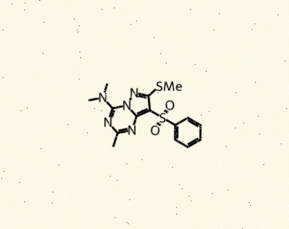 CSc1nn2c(N(C)C)nc(C)nc2c1S(=O)(=O)c1ccccc1